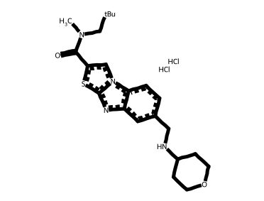 CN(CC(C)(C)C)C(=O)c1cn2c(nc3cc(CNC4CCOCC4)ccc32)s1.Cl.Cl